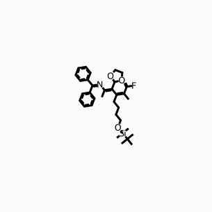 C=C(F)/C(C)=C(CCCCO[Si](C)(C)C(C)(C)C)\C(=C(/C)N=C(c1ccccc1)c1ccccc1)C1OCCO1